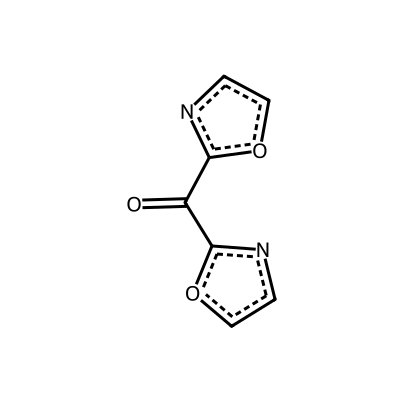 O=C(c1ncco1)c1ncco1